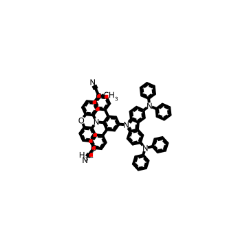 COc1ccc2c(c1)N(c1c(-c3ccc(C#N)cc3)cc(-n3c4ccc(N(c5ccccc5)c5ccccc5)cc4c4cc(N(c5ccccc5)c5ccccc5)ccc43)cc1-c1ccc(C#N)cc1)c1cc(OC)ccc1O2